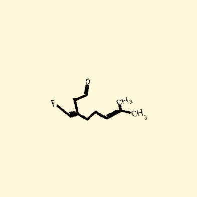 CC(C)=CCC/C(=C/F)CC=O